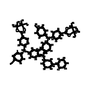 Cc1ccc(N(c2ccc(B3OC(C)(C)C(C)(C)O3)cc2)c2ccc3c(c2)c2cc(N(c4ccc(C)cc4)c4ccc(B5OC(C)(C)C(C)(C)O5)cc4)ccc2n3-c2cccc(-c3ccccc3)c2)cc1